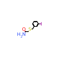 NC(=O)CSCc1cccc(I)c1